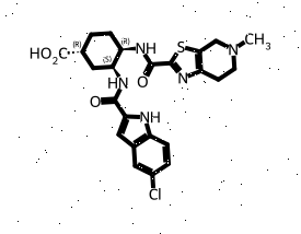 CN1CCc2nc(C(=O)N[C@@H]3CC[C@@H](C(=O)O)C[C@@H]3NC(=O)c3cc4cc(Cl)ccc4[nH]3)sc2C1